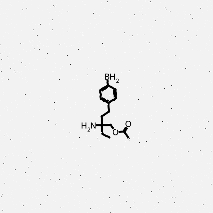 Bc1ccc(CCC(N)(CC)COC(C)=O)cc1